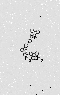 CC1(C)c2ccccc2-c2ccc(-c3cccc4c3sc3c(-c5ccc(-c6ccc(-c7cnc8c9ccccc9c9ccccc9c8n7)cc6)cc5)cccc34)cc21